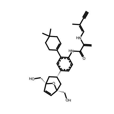 C#C/C(C)=C/NC(=C)C(=O)Nc1ccc([C@@H]2C[C@@]3(CO)C=C[C@@](CO)(C2)O3)cc1C1=CCC(C)(C)CC1